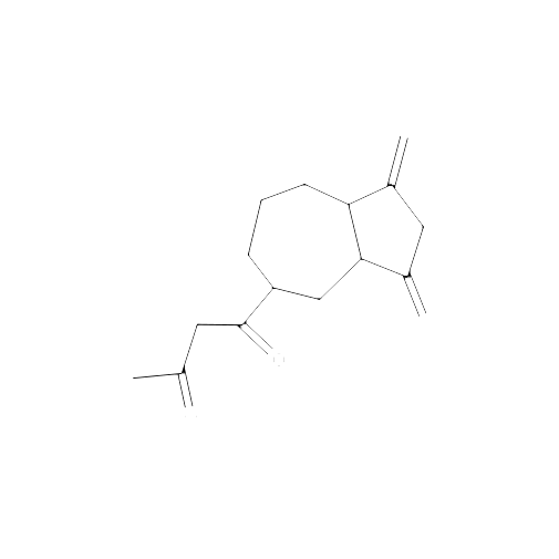 C=C1CC(=C)C2CC(C(=O)CC(C)=O)CCCC12